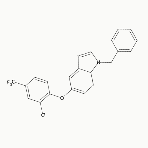 FC(F)(F)c1ccc(OC2=CCC3C(=C2)[C]=CN3Cc2ccccc2)c(Cl)c1